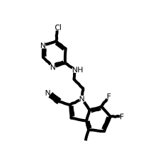 Cc1cc(F)c(F)c2c1cc(C#N)n2CCNc1cc(Cl)ncn1